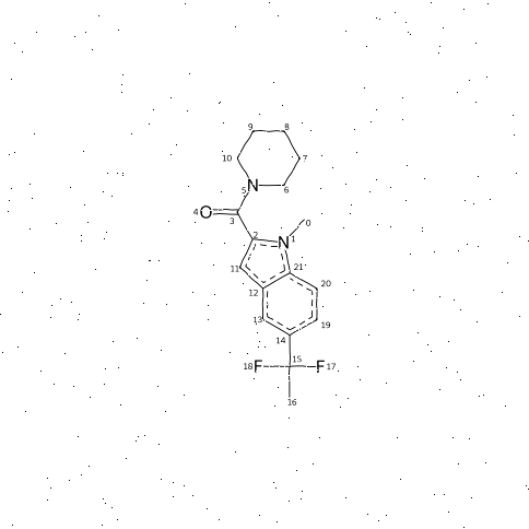 Cn1c(C(=O)N2CCCCC2)cc2cc(C(C)(F)F)ccc21